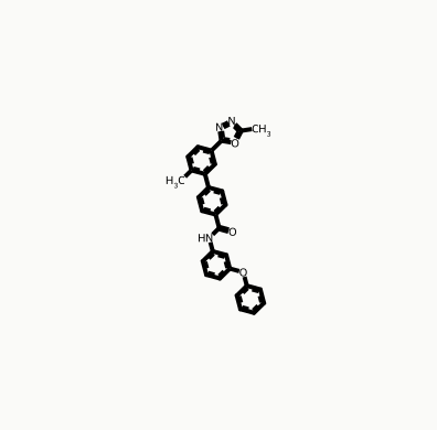 Cc1nnc(-c2ccc(C)c(-c3ccc(C(=O)Nc4cccc(Oc5ccccc5)c4)cc3)c2)o1